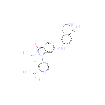 CC(C)c1cc(-n2c3cc(Nc4ccc5c(c4)CCNC5(C)C)ncc3c(=O)n2C(C)C)ccn1